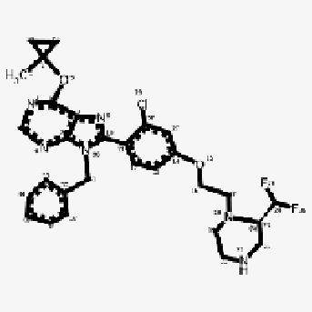 CC1(Oc2ncnc3c2nc(-c2ccc(OCCN4CCNC[C@@H]4C(F)F)cc2Cl)n3Cc2ccccc2)CC1